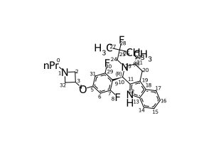 CCCN1CC(Oc2cc(F)c([C@@H]3c4[nH]c5ccccc5c4C[C@@H](C)N3CC(C)(C)F)c(F)c2)C1